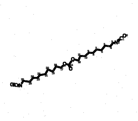 O=C=NCCCCCCCCCCOC(=O)OCCCCCCCCCCN=C=O